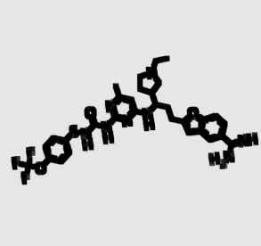 CCN1CCC(C(CCc2cc3cc(C(=N)N)ccc3o2)Nc2cc(C)nc(NC(=O)NSc3ccc(OC(F)(F)F)cc3)n2)C1